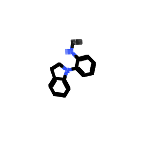 O=CNc1ccccc1N1CCc2ccccc21